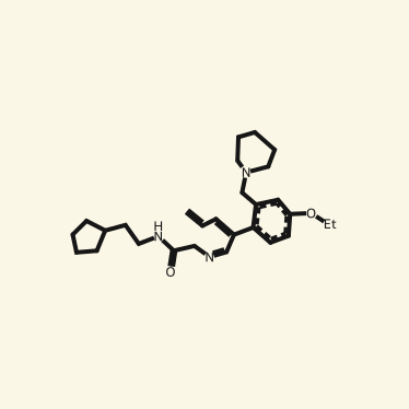 C=C/C=C(\C=N/CC(=O)NCCC1CCCC1)c1ccc(OCC)cc1CN1CCCCC1